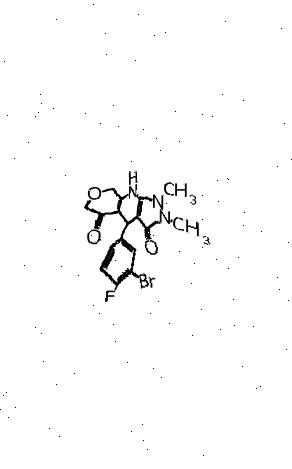 Cn1c2c(c(=O)n1C)C(c1ccc(F)c(Br)c1)C1=C(COCC1=O)N2